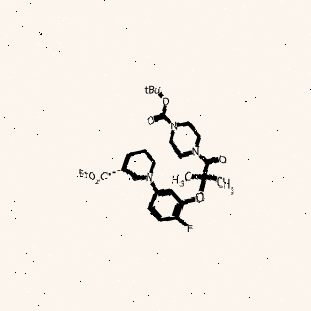 CCOC(=O)[C@@H]1CCCN(c2ccc(F)c(OC(C)(C)C(=O)N3CCN(C(=O)OC(C)(C)C)CC3)c2)C1